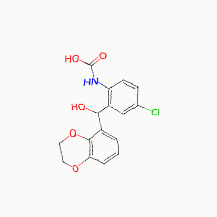 O=C(O)Nc1ccc(Cl)cc1C(O)c1cccc2c1OCCO2